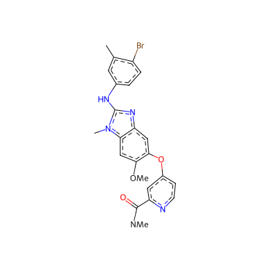 CNC(=O)c1cc(Oc2cc3nc(Nc4ccc(Br)c(C)c4)n(C)c3cc2OC)ccn1